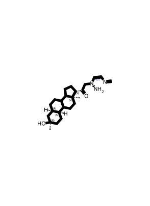 C=N/C=C\N(N)CC(=O)[C@H]1CCC2C3CC[C@@H]4C[C@](C)(O)CC[C@@H]4C3CC[C@@]21C